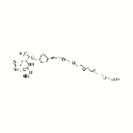 C[C@@H](OCc1ccc(C#CCOCCOCCOCCOCCOCCO)cc1)[C@H](CCC(N)=O)NC(=O)OC(C)(C)C